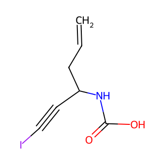 C=CCC(C#CI)NC(=O)O